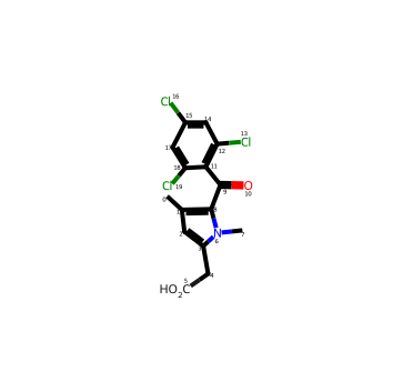 Cc1cc(CC(=O)O)n(C)c1C(=O)c1c(Cl)cc(Cl)cc1Cl